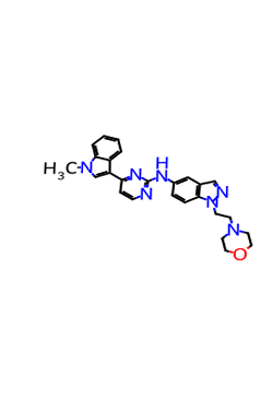 Cn1cc(-c2ccnc(Nc3ccc4c(cnn4CCN4CCOCC4)c3)n2)c2ccccc21